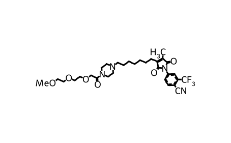 COCCOCCOCC(=O)N1CCN(CCCCCCCC2=C(C)C(=O)N(c3ccc(C#N)c(C(F)(F)F)c3)C2=O)CC1